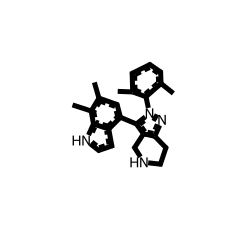 Cc1cccc(C)c1-n1nc2c(c1-c1cc(C)c(C)c3[nH]ccc13)CNCC2